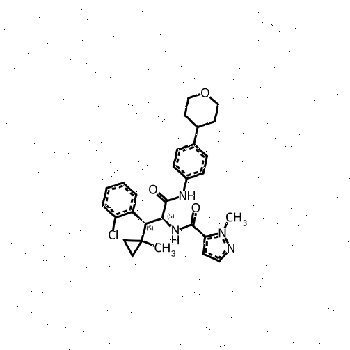 Cn1nccc1C(=O)N[C@H](C(=O)Nc1ccc(C2CCOCC2)cc1)[C@H](c1ccccc1Cl)C1(C)CC1